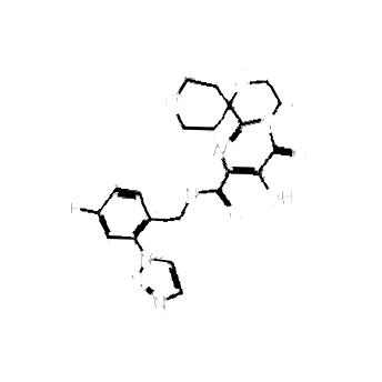 O=C(NCc1ccc(F)cc1-n1ccnn1)c1nc2n(c(=O)c1O)CCOC21CCOCC1